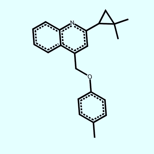 Cc1ccc(OCc2cc(C3CC3(C)C)nc3ccccc23)cc1